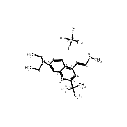 CCN(CC)c1ccc2c(C=COC)cc(C(C)(C)C)[o+]c2c1.F[B-](F)(F)F